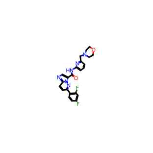 O=C(Nc1cccc(CN2CCOCC2)n1)c1cnc2ccc(-c3ccc(F)cc3F)nn12